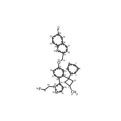 CC1CC(c2ccccc2)(c2cc(OCc3ccc4cc(F)ccc4n3)ccc2-c2ccnn2CCF)C1